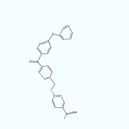 CC(=N)c1ccc(CCc2ccc(C(=O)c3ccc(Sc4ccccc4)cc3)cc2)cc1